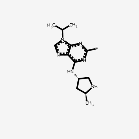 CC(C)n1cnc2c(N[C@@H]3CN[C@@H](C)C3)nc(F)nc21